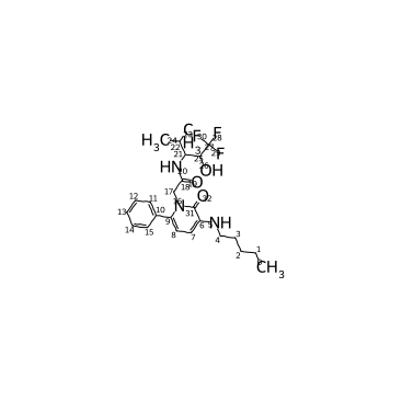 CCCCCNc1ccc(-c2ccccc2)n(CC(=O)NC(C(C)C)C(O)C(F)(F)F)c1=O